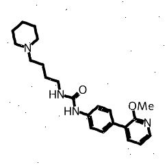 COc1ncccc1-c1ccc(NC(=O)NCCCCN2CCCCC2)cc1